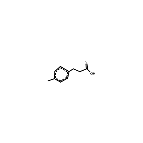 Cc1ccc(CCC(O)=S)cc1